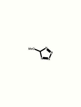 COC1N=NN=N1